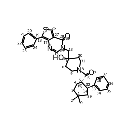 CC1(C)CC[C@H](C(=O)N2CCC(O)(Cn3cnc4c(-c5ccccc5)scc4c3=O)CC2)[C@@H](c2ccccc2)C1